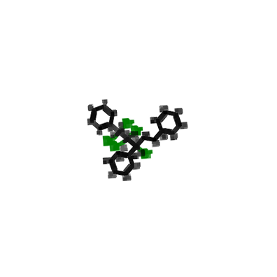 BrC(Br)(c1ccccc1)C(Br)(Br)C(Br)(CCc1ccccc1)c1ccccc1